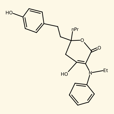 CCCC1(CCc2ccc(O)cc2)CC(O)=C(N(CC)c2ccccc2)C(=O)O1